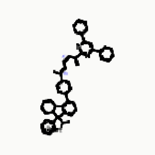 C=C(/C=C\C=C(/C)c1ccc(-c2cccc3c2C2C=CC=CC2C3(c2ccccc2)C(C)CCCCC)cc1)c1nc(-c2ccccc2)cc(-c2ccccc2)n1